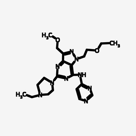 CCOCCn1nc(COC)c2nc(N3CCN(CC)CC3)nc(Nc3ccncn3)c21